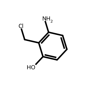 Nc1cccc(O)c1CCl